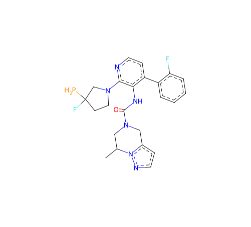 CC1CN(C(=O)Nc2c(-c3ccccc3F)ccnc2N2CCC(F)(P)C2)Cc2ccnn21